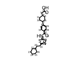 O=C(O)CC1CCC(c2ccc(C(=O)Nc3nnc(CCC4CCCCC4)s3)cc2)CC1